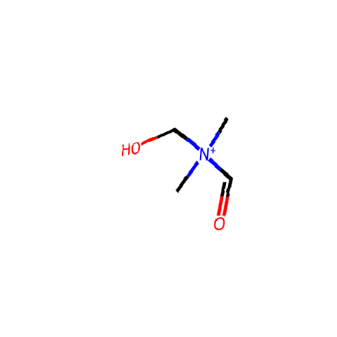 C[N+](C)(C=O)CO